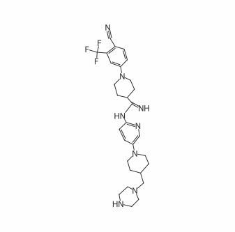 N#Cc1ccc(N2CCC(C(=N)Nc3ccc(N4CCC(CN5CCNCC5)CC4)cn3)CC2)cc1C(F)(F)F